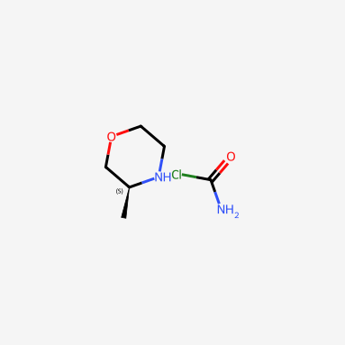 C[C@H]1COCCN1.NC(=O)Cl